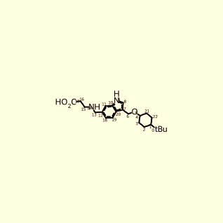 CC(C)(C)C1CCC(OCc2c[nH]c3cc(CNCCC(=O)O)ccc23)CC1